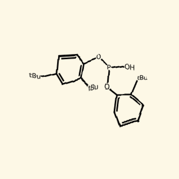 CC(C)(C)c1ccc(OP(O)Oc2ccccc2C(C)(C)C)c(C(C)(C)C)c1